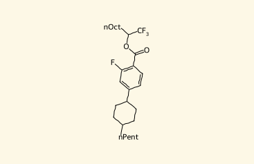 CCCCCCCCC(OC(=O)c1ccc(C2CCC(CCCCC)CC2)cc1F)C(F)(F)F